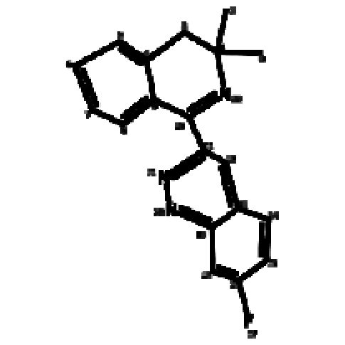 CC1(C)Cc2ccccc2C(c2cc3ccc(F)cc3nn2)=N1